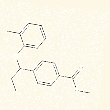 CCC(Oc1ccccc1C)c1ccc(C(=O)OC)cc1